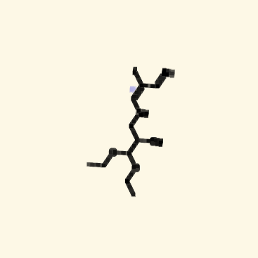 CCOC(OCC)C(O)CN/C=C(/I)C=N